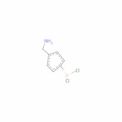 NCc1ccc(B(Cl)Cl)cc1